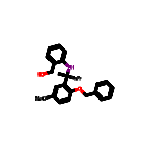 CCCC(C)(Pc1ccccc1CO)c1cc(OC)ccc1OCc1ccccc1